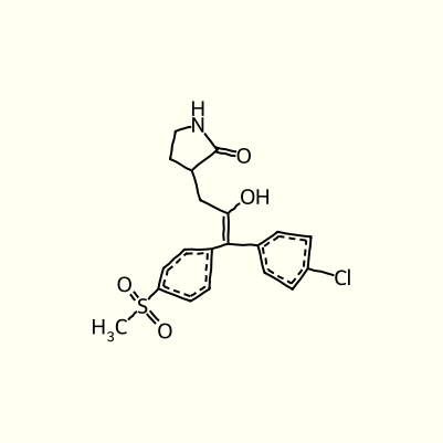 CS(=O)(=O)c1ccc(/C(=C(/O)CC2CCNC2=O)c2ccc(Cl)cc2)cc1